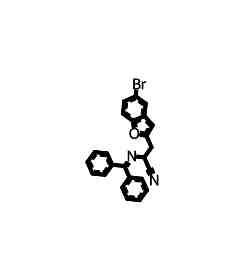 N#CC(Cc1cc2cc(Br)ccc2o1)N=C(c1ccccc1)c1ccccc1